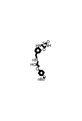 CCCCOc1ccc(OC[C@@H](O)CNCCc2ccc(NC3SC(=O)NC3=O)cc2)cc1